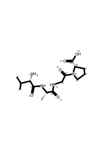 CC(C)[C@H](N)C(=O)N[C@@H](C)C(=O)NCC(=O)N1CCC[C@H]1C(=O)O